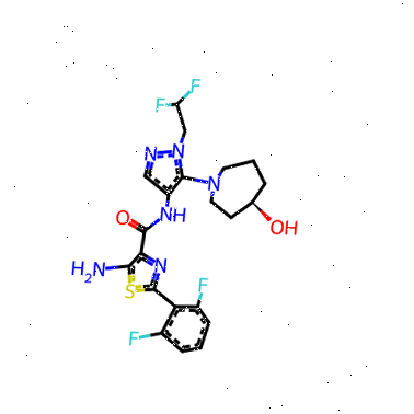 Nc1sc(-c2c(F)cccc2F)nc1C(=O)Nc1cnn(CC(F)F)c1N1CCC[C@@H](O)CC1